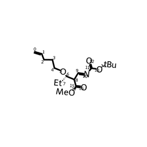 C=CCCCO[C@@H](CC)C(/C=N/C(=O)OC(C)(C)C)C(=O)OC